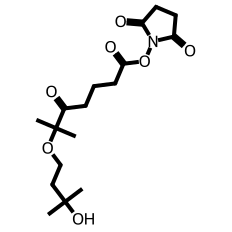 CC(C)(O)CCOC(C)(C)C(=O)CCCC(=O)ON1C(=O)CCC1=O